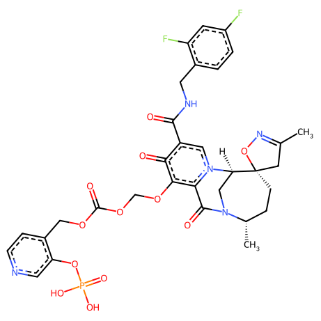 CC1=NO[C@@]2(CC[C@H](C)N3C[C@H]2n2cc(C(=O)NCc4ccc(F)cc4F)c(=O)c(OCOC(=O)OCc4ccncc4OP(=O)(O)O)c2C3=O)C1